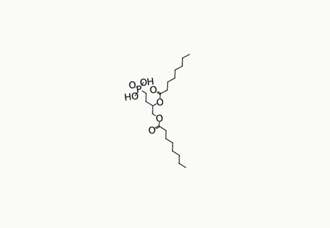 CCCCCCCC(=O)OCC(CCP(=O)(O)O)OC(=O)CCCCCCC